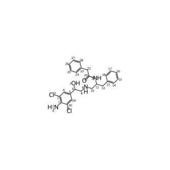 Nc1c(Cl)cc(C(O)CNCC(Cc2ccccc2)NC(=O)Cc2ccccc2)cc1Cl